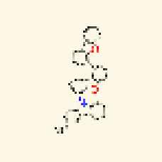 N#Cc1ccc2c(c1)c1ccccc1n2-c1cccc2c1oc1cccc(-c3cccc4c5c(oc34)CCC=C5)c12